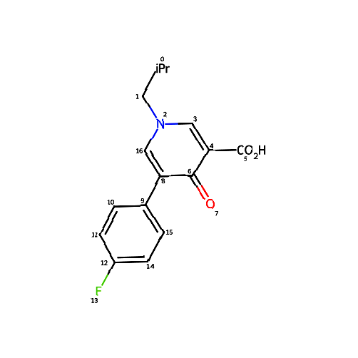 CC(C)Cn1cc(C(=O)O)c(=O)c(-c2ccc(F)cc2)c1